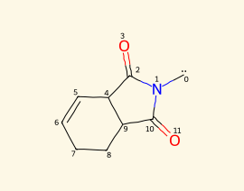 [CH]N1C(=O)C2C=CCCC2C1=O